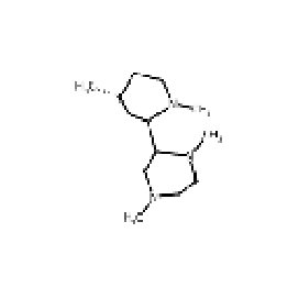 C[C@@H]1CCN(C)C(C2CN(C)CCN2C)C1